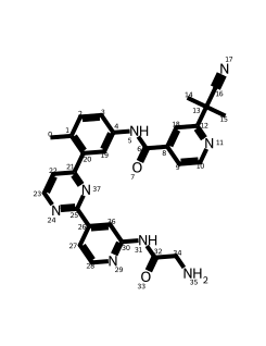 Cc1ccc(NC(=O)c2ccnc(C(C)(C)C#N)c2)cc1-c1ccnc(-c2ccnc(NC(=O)CN)c2)n1